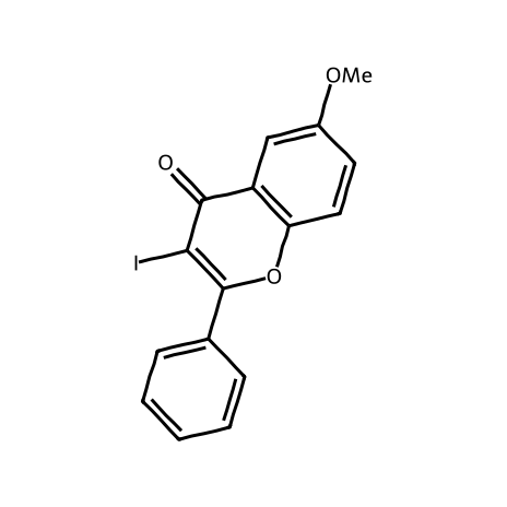 COc1ccc2oc(-c3ccccc3)c(I)c(=O)c2c1